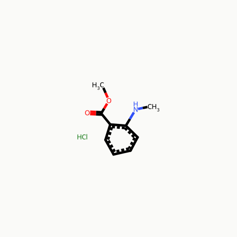 CNc1ccccc1C(=O)OC.Cl